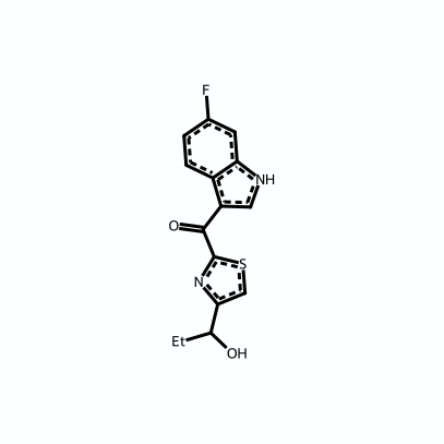 CCC(O)c1csc(C(=O)c2c[nH]c3cc(F)ccc23)n1